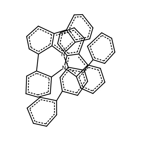 c1ccc(-c2ccc(-c3ccccc3)c(-n3c4ccccc4c4cccc(-c5ccccc5-n5c6ccccc6c6ccccc65)c43)c2)cc1